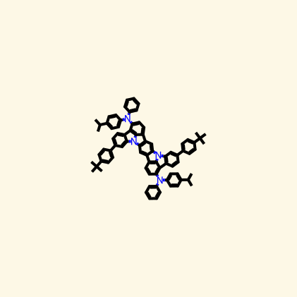 CC(C)c1ccc(N(c2ccccc2)c2ccc3c4cc5c(cc4n4c6cc(-c7ccc(C(C)(C)C)cc7)ccc6c2c34)c2ccc(N(c3ccccc3)c3ccc(C(C)C)cc3)c3c4ccc(-c6ccc(C(C)(C)C)cc6)cc4n5c23)cc1